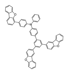 c1ccc(N(c2ccc(-c3cc(-c4ccc5oc6ccccc6c5c4)cc(-c4ccc5oc6ccccc6c5c4)c3)cc2)c2ccc(-c3cccc4c3oc3ccccc34)cc2)cc1